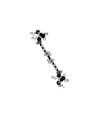 Cc1cc(S(=O)(=O)NCCOCCOCCNC(=O)NCCCCNC(=O)NCCOCCOCCNS(=O)(=O)c2ccc(O[C@H]3c4cc(Cl)cc(C#N)c4C[C@@H]3N3CCC[C@@H](N)C3)c(C)c2)ccc1O[C@H]1c2cc(Cl)cc(C#N)c2C[C@@H]1N1CCC[C@@H](N)C1